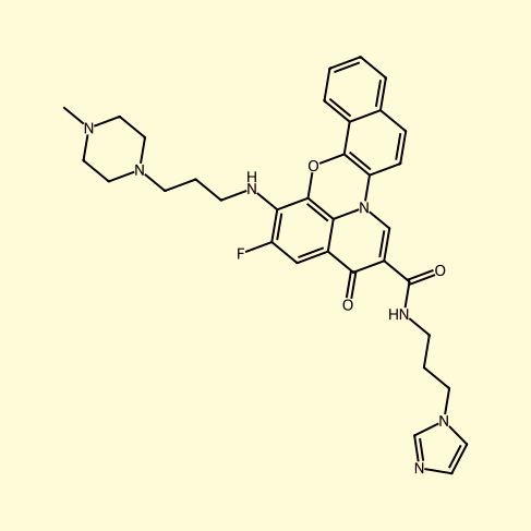 CN1CCN(CCCNc2c(F)cc3c(=O)c(C(=O)NCCCn4ccnc4)cn4c3c2Oc2c-4ccc3ccccc23)CC1